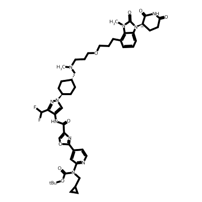 CN(CCCOCCCc1cccc2c1n(C)c(=O)n2[C@@H]1CCC(=O)NC1=O)C[C@H]1CC[C@H](n2cc(NC(=O)c3coc(-c4ccnc(N(CC5CC5)C(=O)OC(C)(C)C)c4)n3)c(C(F)F)n2)CC1